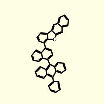 c1ccc(-c2c3ccccc3c(-c3ccc(-c4cccc5c4oc4cc6ccccc6cc45)c4ccccc34)c3ccccc23)cc1